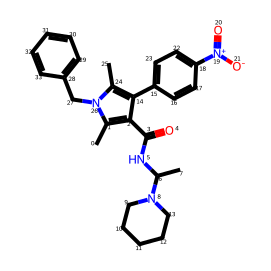 Cc1c(C(=O)NC(C)N2CCCCC2)c(-c2ccc([N+](=O)[O-])cc2)c(C)n1Cc1ccccc1